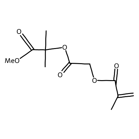 C=C(C)C(=O)OCC(=O)OC(C)(C)C(=O)OC